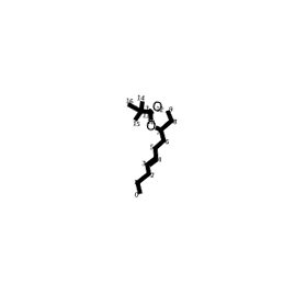 CCCC=CCCC(CC)OC(=O)C(C)(C)C